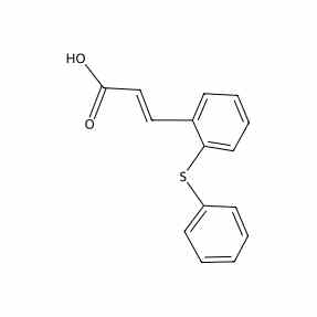 O=C(O)C=Cc1ccccc1Sc1ccccc1